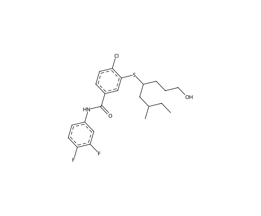 CCC(C)CC(CCCO)Sc1cc(C(=O)Nc2ccc(F)c(F)c2)ccc1Cl